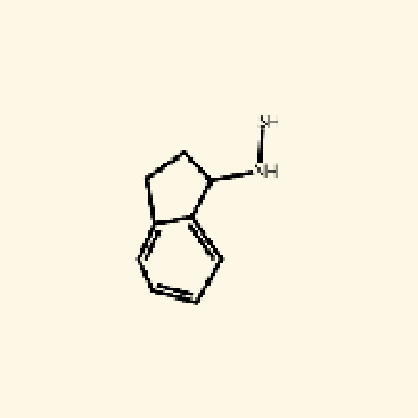 SNC1CCc2ccccc21